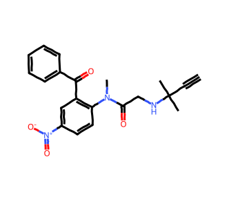 C#CC(C)(C)NCC(=O)N(C)c1ccc([N+](=O)[O-])cc1C(=O)c1ccccc1